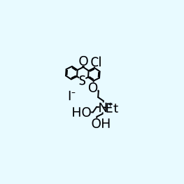 CC[N+](CCO)(CCO)CCCOc1ccc(Cl)c2c(=O)c3ccccc3sc12.[I-]